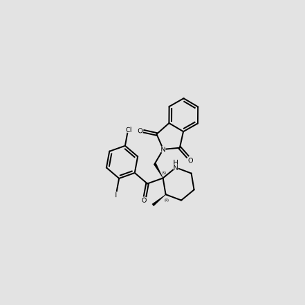 C[C@@H]1CCCN[C@@]1(CN1C(=O)c2ccccc2C1=O)C(=O)c1cc(Cl)ccc1I